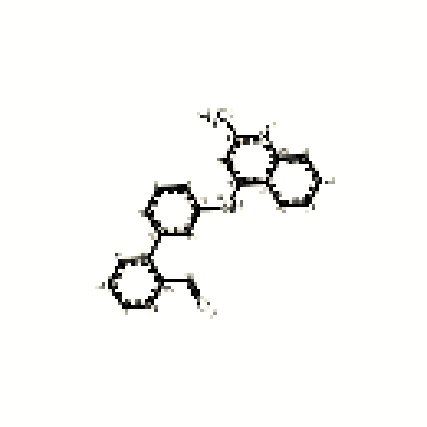 Cc1cc(Nc2cccc(-c3ccccc3C=O)c2)c2ccccc2n1